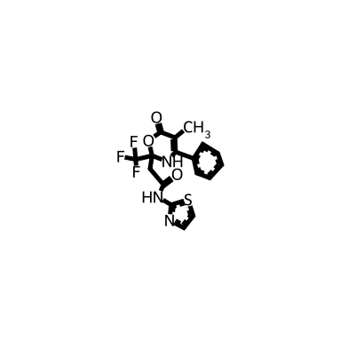 CC1=C(c2ccccc2)NC(CC(=O)Nc2nccs2)(C(F)(F)F)OC1=O